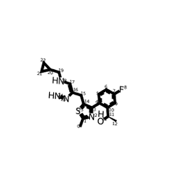 Cc1nc(-c2ccc(F)cc2[C@@H](C)O)c(C/C(=C/NCC2CC2)N=N)s1